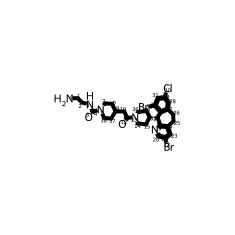 NCCNC(=O)N1CCC(CC(=O)N2CCC([C@H]3c4ncc(Br)cc4CCc4cc(Cl)cc(Br)c43)CC2)CC1